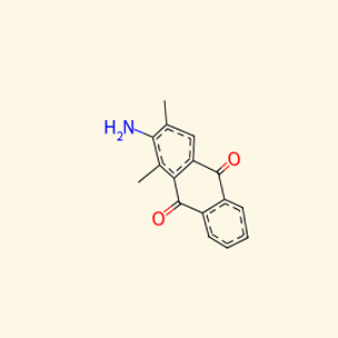 Cc1cc2c(c(C)c1N)C(=O)c1ccccc1C2=O